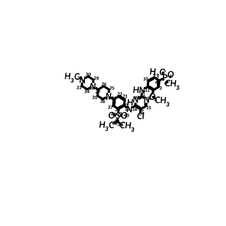 COc1cc(P(C)(C)=O)ccc1Nc1ncc(Cl)c(Nc2ccc(N3CCC(N4CCN(C)CC4)CC3)cc2S(=O)(=O)C(C)C)n1